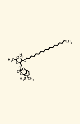 CCCCCCCCCCCCCCCCCCOC(C)C(COP1(=O)OC2CC[N+](C)(C)C(C2)O1)OC(C)=O